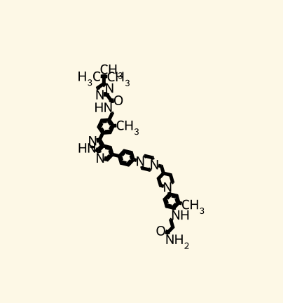 Cc1cc(-c2n[nH]c3ncc(-c4ccc(N5CCN(CC6CCN(c7ccc(NCCC(N)=O)c(C)c7)CC6)CC5)cc4)cc23)ccc1CNC(=O)C1=NCC(C(C)(C)C)=N1